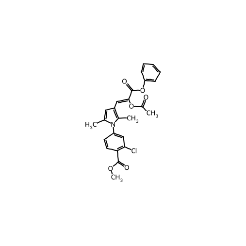 COC(=O)c1ccc(-n2c(C)cc(C=C(OC(C)=O)C(=O)Oc3ccccc3)c2C)cc1Cl